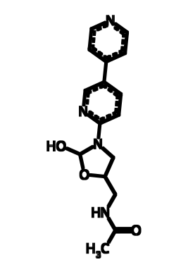 CC(=O)NCC1CN(c2ccc(-c3ccncc3)cn2)C(O)O1